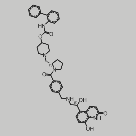 O=C(Nc1ccccc1-c1ccccc1)OC1CCN(C[C@@H]2CCCN2C(=O)c2ccc(CNC[C@@H](O)c3ccc(O)c4[nH]c(=O)ccc34)cc2)CC1